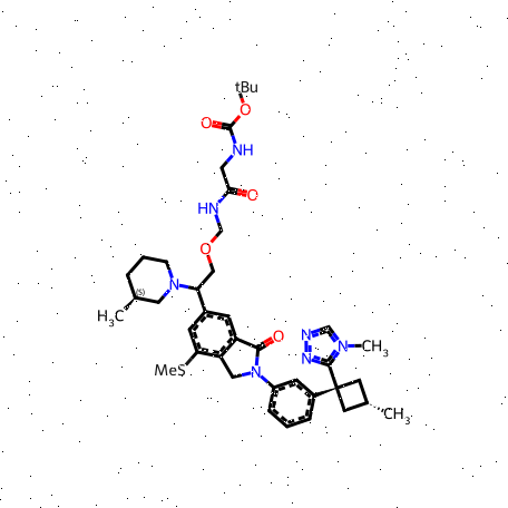 CSc1cc(C(COCNC(=O)CNC(=O)OC(C)(C)C)N2CCC[C@H](C)C2)cc2c1CN(c1cccc([C@]3(c4nncn4C)C[C@@H](C)C3)c1)C2=O